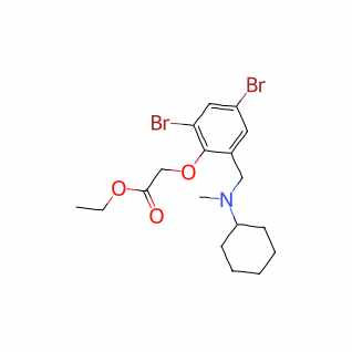 CCOC(=O)COc1c(Br)cc(Br)cc1CN(C)C1CCCCC1